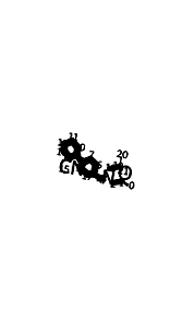 C[C@H]1CN(Cc2ccc(-c3ccccc3C#N)cc2)C[C@H](C)O1